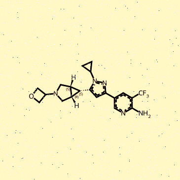 Nc1ncc(-c2cc([C@@H]3[C@@H]4CN(C5COC5)C[C@@H]43)n(C3CC3)n2)cc1C(F)(F)F